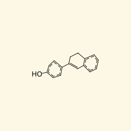 Oc1ccc(C2=Cc3ccccc3CC2)cc1